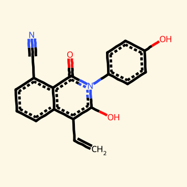 C=Cc1c(O)n(-c2ccc(O)cc2)c(=O)c2c(C#N)cccc12